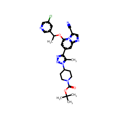 Cc1c(-c2cc(OC(C)c3cncc(Cl)c3)n3c(C#N)cnc3c2)nnn1C1CCN(C(=O)OC(C)(C)C)CC1